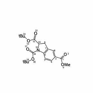 COC(=O)c1ccc2c(c1)CC(C(=O)OC(C)(C)C)N2C(=O)OC(C)(C)C